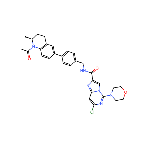 CC(=O)N1c2ccc(-c3ccc(CNC(=O)c4cn5c(N6CCOCC6)nc(Cl)cc5n4)cc3)cc2CC[C@@H]1C